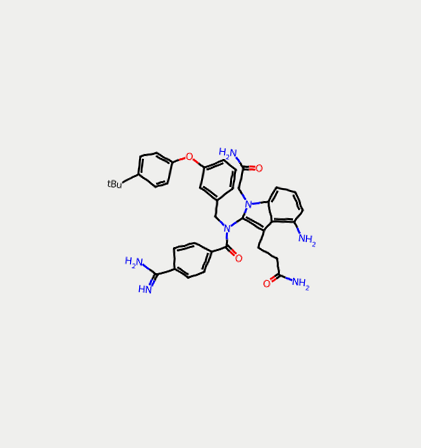 CC(C)(C)c1ccc(Oc2cccc(CN(C(=O)c3ccc(C(=N)N)cc3)c3c(CCC(N)=O)c4c(N)cccc4n3CC(N)=O)c2)cc1